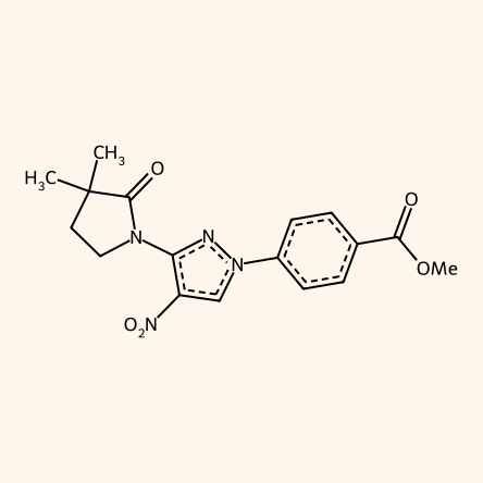 COC(=O)c1ccc(-n2cc([N+](=O)[O-])c(N3CCC(C)(C)C3=O)n2)cc1